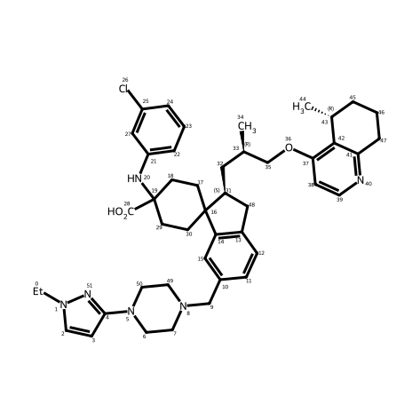 CCn1ccc(N2CCN(Cc3ccc4c(c3)C3(CCC(Nc5cccc(Cl)c5)(C(=O)O)CC3)[C@@H](C[C@@H](C)COc3ccnc5c3[C@H](C)CCC5)C4)CC2)n1